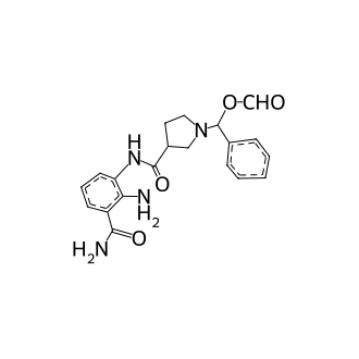 NC(=O)c1cccc(NC(=O)C2CCN(C(OC=O)c3ccccc3)C2)c1N